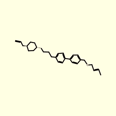 C=CC[C@H]1CC[C@H](CCCCc2ccc(-c3ccc(COCC=CC)cc3)cc2)CC1